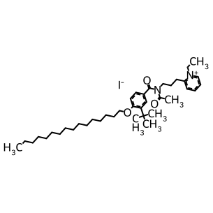 CCCCCCCCCCCCCCCCOc1ccc(C(=O)N(CCCc2cccc[n+]2CC)C(C)=O)cc1C(C)(C)C.[I-]